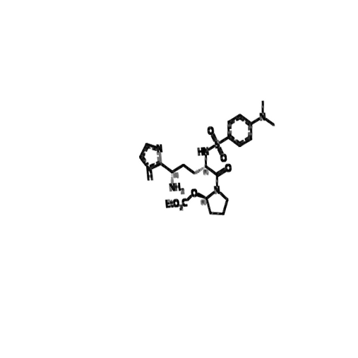 CCOC(=O)O[C@@H]1CCCN1C(=O)[C@H](CC[C@H](N)c1ncc[nH]1)NS(=O)(=O)c1ccc(N(C)C)cc1